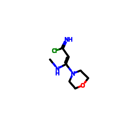 CN/C(=C\C(=N)Cl)N1CCOCC1